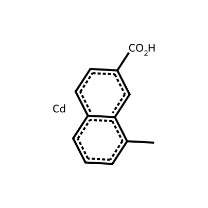 Cc1cccc2ccc(C(=O)O)cc12.[Cd]